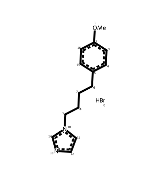 Br.COc1ccc(CCCCn2ccnc2)cc1